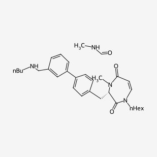 CCCCCCN1C=CC(=O)N(C)[C@@H](Cc2ccc(-c3cccc(CNCCCC)c3)cc2)C1=O.CNC=O